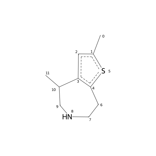 Cc1cc2c(s1)CCNCC2C